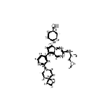 COC[C@H](C)Nc1ncc2c(-c3ccnc(N4CCC5(CCO5)CC4)c3)cc([C@H]3CC[C@H](O)CC3)n2n1